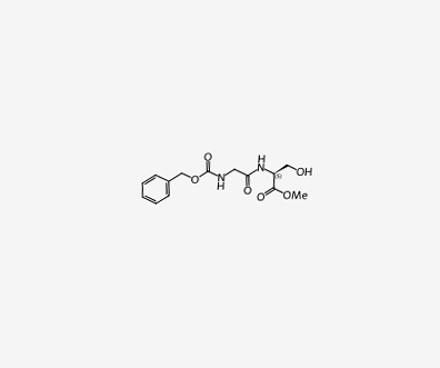 COC(=O)[C@H](CO)NC(=O)CNC(=O)OCc1ccccc1